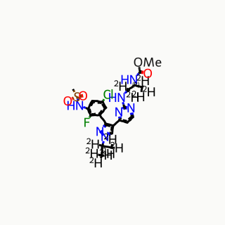 [2H]C([2H])([2H])[C@@H](NC(=O)OC)C([2H])([2H])Nc1nccc(-c2cn(C([2H])(C([2H])([2H])[2H])C([2H])([2H])[2H])nc2-c2cc(Cl)cc(NS(C)(=O)=O)c2F)n1